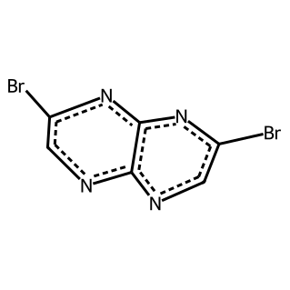 Brc1cnc2ncc(Br)nc2n1